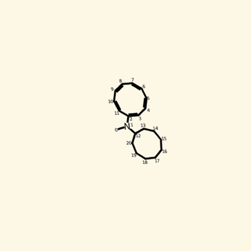 CN(c1ccccccccc1)C1CCCCCCCC1